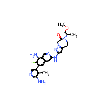 COCC(C)N1CCc2cc(Nc3cc4cc(-c5cncc(N)c5C)c(F)c(N)c4cn3)nn2CC1=O